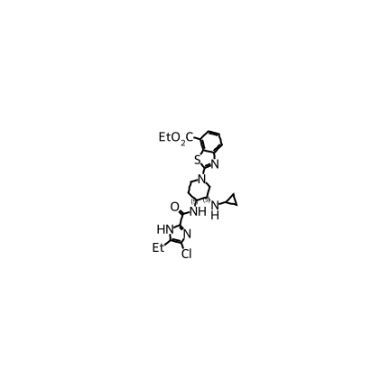 CCOC(=O)c1cccc2nc(N3CC[C@H](NC(=O)c4nc(Cl)c(CC)[nH]4)[C@@H](NC4CC4)C3)sc12